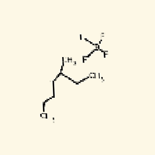 CCC[CH]C(C)CC.F[B-](F)(F)F